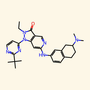 CCn1c(=O)c2cnc(Nc3ccc4c(c3)CC(N(C)C)CC4)cc2n1-c1ccnc(C(C)(C)C)n1